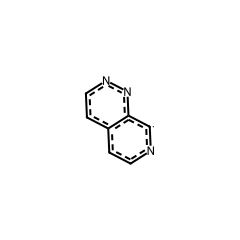 [c]1nccc2ccnnc12